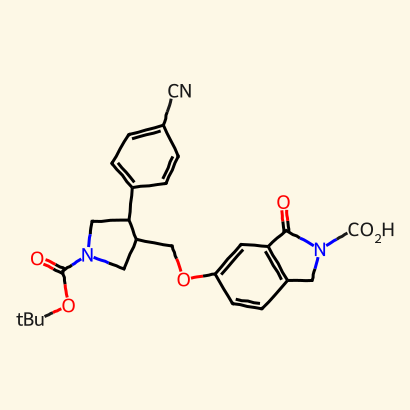 CC(C)(C)OC(=O)N1CC(COc2ccc3c(c2)C(=O)N(C(=O)O)C3)C(c2ccc(C#N)cc2)C1